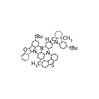 Cc1cc2c3c(c1)-n1c4c(c5cc(C(C)(C)C)cc(c51)B3c1ccc(N3c5ccc(C(C)(C)C)cc5C5(C)CCCCC35C)cc1N2c1cccc2sc3ccccc3c12)OC1=CC=CCC14